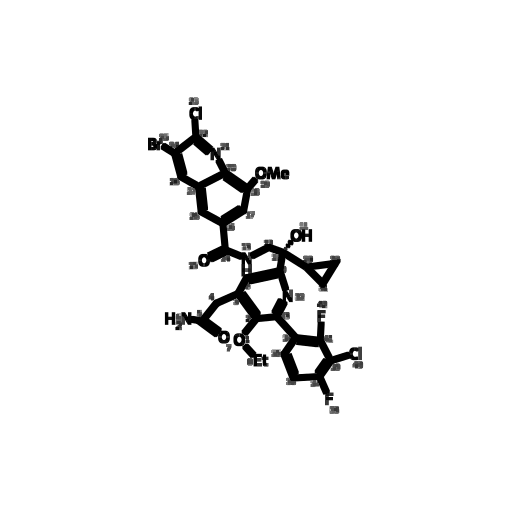 CCOc1c(CC(N)=O)cc([C@@](O)(CNC(=O)c2cc(OC)c3nc(Cl)c(Br)cc3c2)C2CC2)nc1-c1ccc(F)c(Cl)c1F